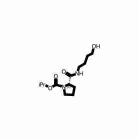 CC(C)OC(=O)N1CCC[C@H]1C(=O)NCCCCO